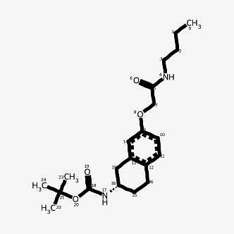 CCCCNC(=O)COc1ccc2c(c1)C[C@@H](NC(=O)OC(C)(C)C)CC2